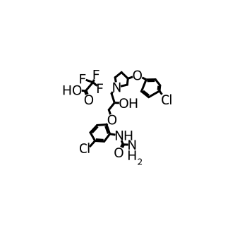 NC(=O)Nc1cc(Cl)ccc1OCC(O)CN1CCC(Oc2ccc(Cl)cc2)C1.O=C(O)C(F)(F)F